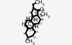 CCC1C[C@H]2[C@@H]3CC=C4C[C@@H](C)CC[C@]4(C)[C@H]3CC[C@]2(C)C1=O